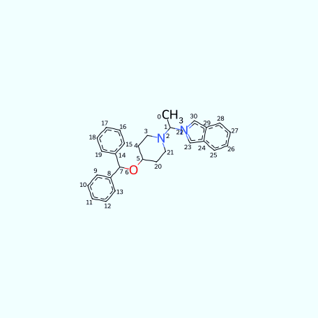 CC(N1CCC(OC(c2ccccc2)c2ccccc2)CC1)n1cc2ccccc2c1